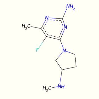 CNC1CCN(c2nc(N)nc(C)c2F)C1